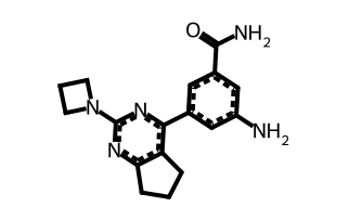 NC(=O)c1cc(N)cc(-c2nc(N3CCC3)nc3c2CCC3)c1